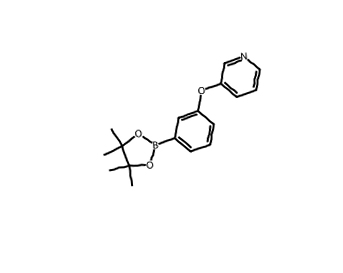 CC1(C)OB(c2cccc(Oc3cccnc3)c2)OC1(C)C